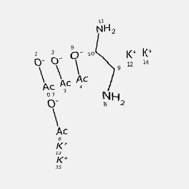 CC(=O)[O-].CC(=O)[O-].CC(=O)[O-].CC(=O)[O-].NCCN.[K+].[K+].[K+].[K+]